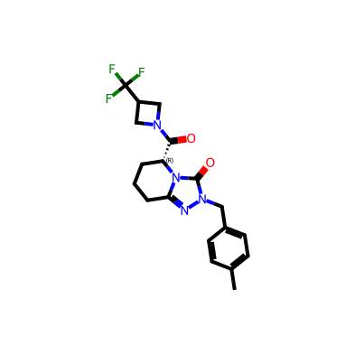 Cc1ccc(Cn2nc3n(c2=O)[C@@H](C(=O)N2CC(C(F)(F)F)C2)CCC3)cc1